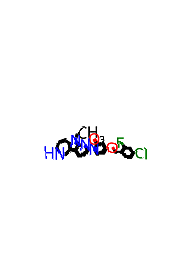 CCn1c2c(c3ccc(-n4ccc(OCc5ccc(Cl)cc5F)cc4=O)nc31)CNCCC2